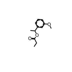 CCC(=O)OC(C)c1cccc(OC)c1